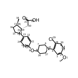 COc1cc(N2CCC(Oc3ccc(N4CC[C@@H](C)[C@@H]4CC(=O)O)cn3)CC2)c(Cl)cn1